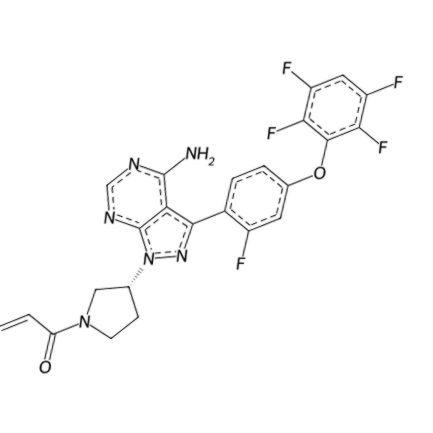 [2H]/C=C\C(=O)N1CC[C@@H](n2nc(-c3ccc(Oc4c(F)c(F)cc(F)c4F)cc3F)c3c(N)ncnc32)C1